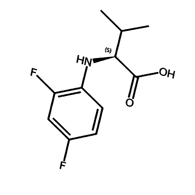 CC(C)[C@H](Nc1ccc(F)cc1F)C(=O)O